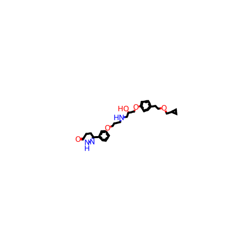 O=C1CCC(c2cccc(OCCCNCC(O)COc3ccc(CCOCC4CC4)cc3)c2)=NN1